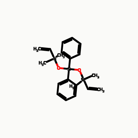 C=C[Si](C)(C)O[Si](O[Si](C)(C)C=C)(c1ccccc1)c1ccccc1